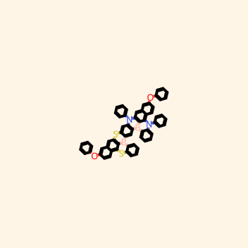 c1ccc(Oc2ccc3c4c5c(cc3c2)Sc2cc3c(cc2B5c2ccccc2S4)B2c4ccccc4N(c4ccccc4)c4c2c(cc2cc(Oc5ccccc5)ccc42)N3c2ccccc2)cc1